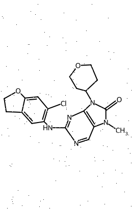 Cn1c(=O)n(C2CCOCC2)c2nc(Nc3cc4c(cc3Cl)OCC4)ncc21